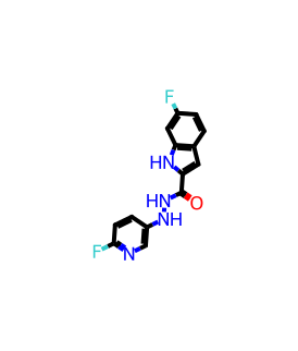 O=C(NNc1ccc(F)nc1)c1cc2ccc(F)cc2[nH]1